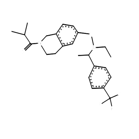 CCN(Sc1ccc2c(c1)CCN(C(=O)C(C)C)C2)C(C)c1ccc(C(F)(F)F)cc1